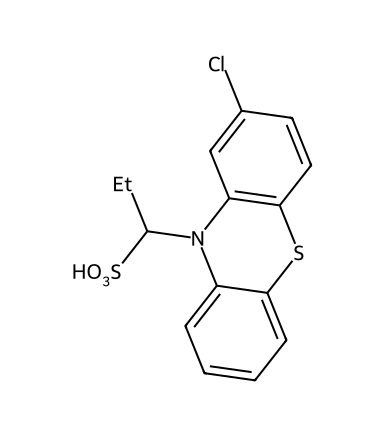 CCC(N1c2ccccc2Sc2ccc(Cl)cc21)S(=O)(=O)O